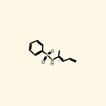 C=C/C=C(\C)NS(=O)(=O)c1ccccc1